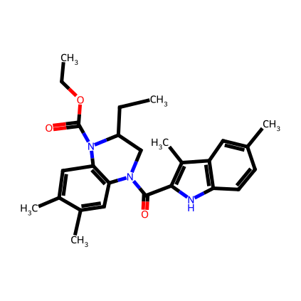 CCOC(=O)N1c2cc(C)c(C)cc2N(C(=O)c2[nH]c3ccc(C)cc3c2C)CC1CC